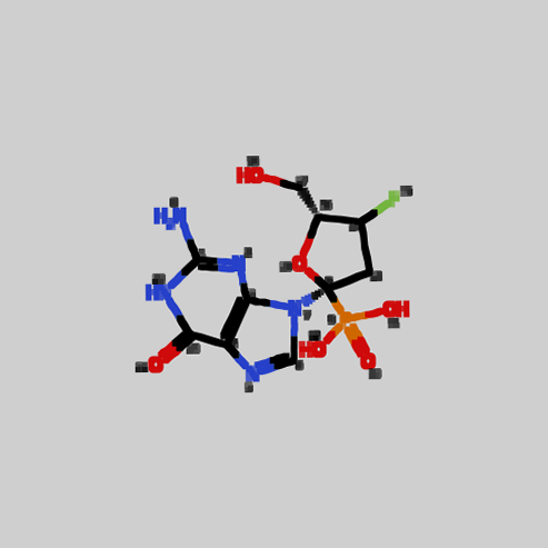 Nc1nc2c(ncn2[C@@]2(P(=O)(O)O)CC(F)[C@@H](CO)O2)c(=O)[nH]1